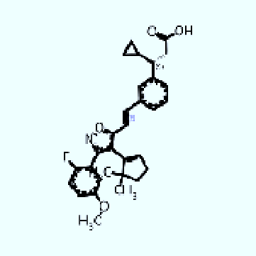 COc1ccc(F)c(-c2noc(/C=C/c3cccc([C@@H](CC(=O)O)C4CC4)c3)c2C2=CCCC2(C)C)c1